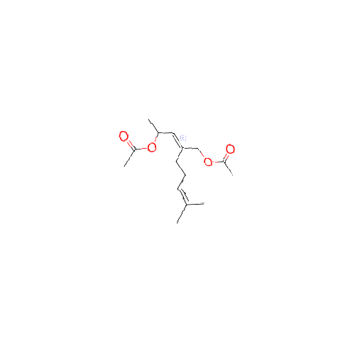 CC(=O)OC/C(=C/C(C)OC(C)=O)CCC=C(C)C